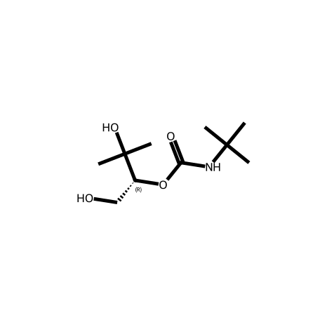 CC(C)(C)NC(=O)O[C@H](CO)C(C)(C)O